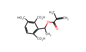 C=C(C)C(=O)OC(C)c1c(C(=O)O)ccc(C(=O)O)c1C(=O)O